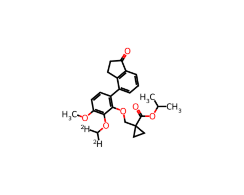 [2H]C([2H])Oc1c(OC)ccc(-c2cccc3c2CCC3=O)c1OCC1(C(=O)OC(C)C)CC1